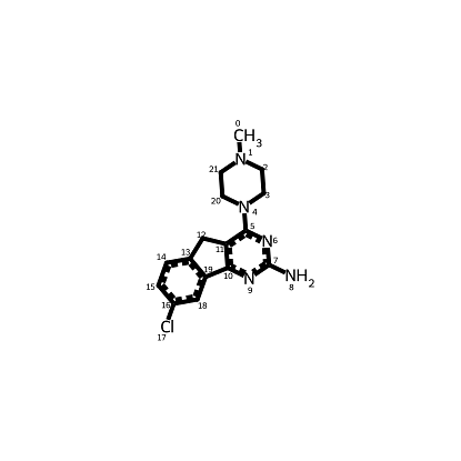 CN1CCN(c2nc(N)nc3c2Cc2ccc(Cl)cc2-3)CC1